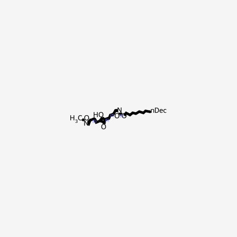 CCCCCCCCCCCCCCCCCC/[O+]=C1N=C/C(=C/C=C2/C(=O)C(/C=C/c3cnc(C)o3)=C2O)O\1